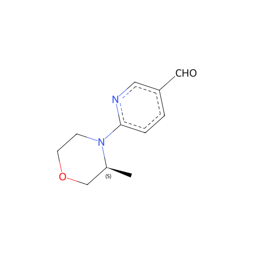 C[C@H]1COCCN1c1ccc(C=O)cn1